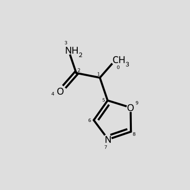 CC(C(N)=O)c1cnco1